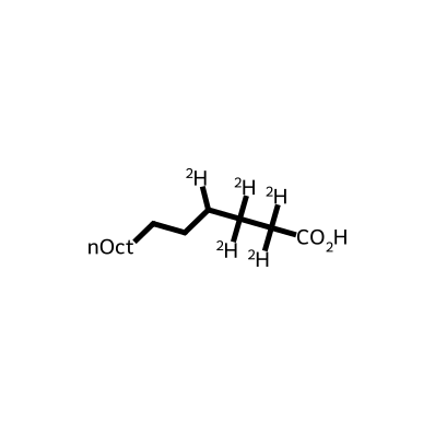 [2H]C(CCCCCCCCCC)C([2H])([2H])C([2H])([2H])C(=O)O